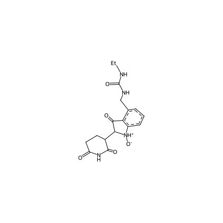 CCNC(=O)NCc1cccc2c1C(=O)C(C1CCC(=O)NC1=O)[NH+]2[O-]